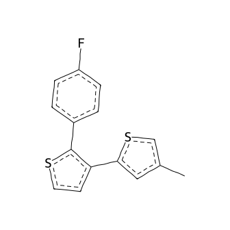 Cc1csc(-c2ccsc2-c2ccc(F)cc2)c1